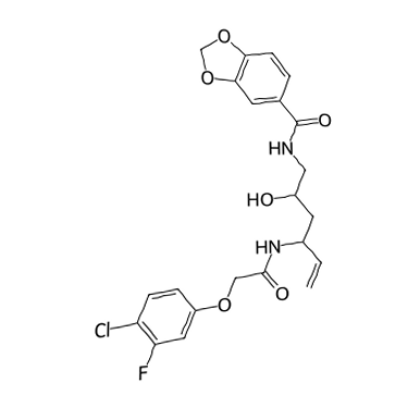 C=CC(CC(O)CNC(=O)c1ccc2c(c1)OCO2)NC(=O)COc1ccc(Cl)c(F)c1